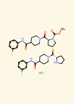 CC(C)(C)OC(=O)N1CCC[C@H]1C(=O)N1CCC(C(=O)Nc2cccc(F)c2)CC1.Cl.O=C(Nc1cccc(F)c1)C1CCN(C(=O)[C@@H]2CCCN2)CC1